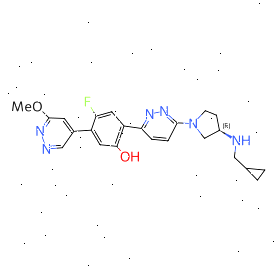 COc1cc(-c2cc(O)c(-c3ccc(N4CC[C@@H](NCC5CC5)C4)nn3)cc2F)cnn1